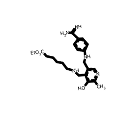 CCOC(=O)CCCCCNCc1c(CNc2ccc(C(=N)N)cc2)cnc(C)c1O